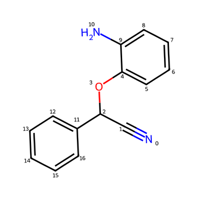 N#CC(Oc1ccccc1N)c1ccccc1